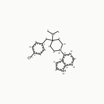 CN(C)C1(Cc2ccc(Cl)cc2)CCN(c2ncnc3[nH]ccc23)CC1